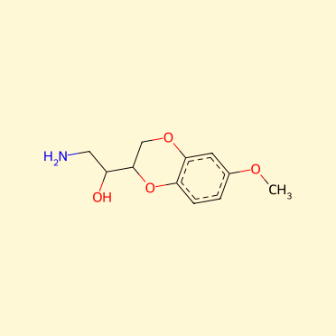 COc1ccc2c(c1)OCC(C(O)CN)O2